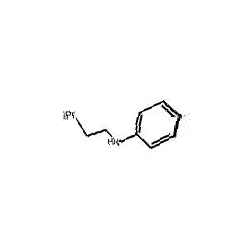 CC(C)CCNc1cc[c]cc1